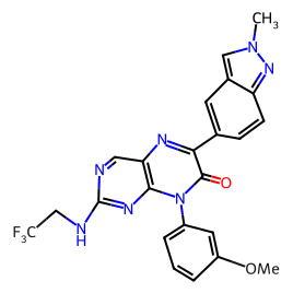 COc1cccc(-n2c(=O)c(-c3ccc4nn(C)cc4c3)nc3cnc(NCC(F)(F)F)nc32)c1